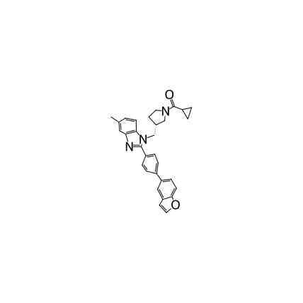 Cc1ccc2c(c1)nc(-c1ccc(-c3ccc4occc4c3)cc1)n2C[C@@H]1CCN(C(=O)C2CC2)C1